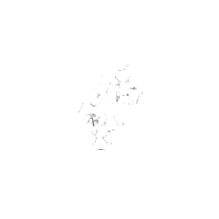 O=P1(Oc2ccccc2Cc2ccccc2OP2(=O)Oc3ccccc3-c3ccccc32)Oc2ccccc2-c2ccccc21